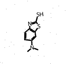 CN(C)c1ccc2nc(S)sc2c1